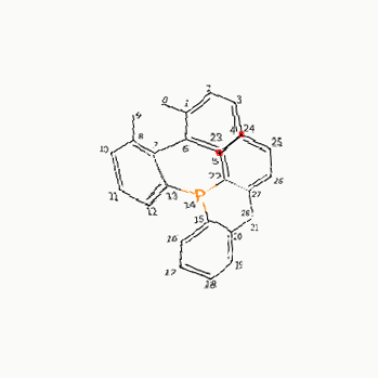 Cc1ccccc1-c1c(C)cccc1P(c1ccccc1C)c1ccccc1C